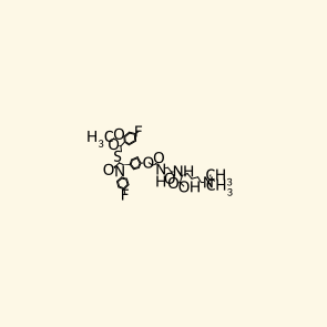 CC(=O)OC(CS[C@H]1C(=O)N(c2ccc(F)cc2)[C@@H]1c1ccc(OCC(=O)NCC(=O)N[C@@H](CCCCN(C)C)C(=O)O)cc1)c1ccc(F)cc1